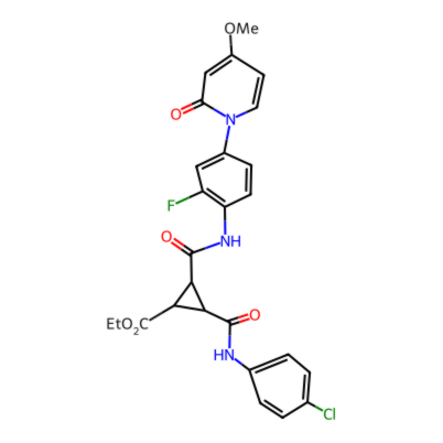 CCOC(=O)C1C(C(=O)Nc2ccc(Cl)cc2)C1C(=O)Nc1ccc(-n2ccc(OC)cc2=O)cc1F